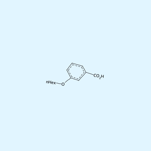 CCCCCCOc1cccc(C(=O)O)c1